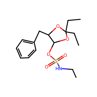 CCNS(=O)(=O)OC1OC(CC)(CC)OC1Cc1ccccc1